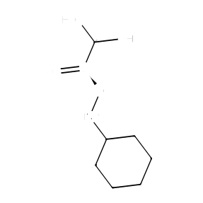 CC(C)[S@](=O)ONC1CCCCC1